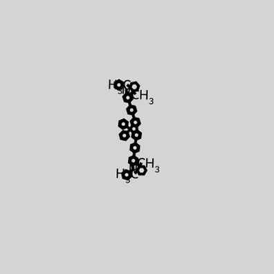 CC12CCCCC1(C)N(c1ccccc1)c1ccc(-c3ccc(-c4ccc5c(c4)C(c4ccccc4)(c4ccccc4)c4cc(-c6ccc(-c7ccc8c(c7)C7(C)CCCCC7(C)N8c7ccccc7)cc6)ccc4-5)cc3)cc12